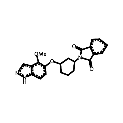 COc1c(OC2CCCC(N3C(=O)c4ccccc4C3=O)C2)ccc2[nH]ncc12